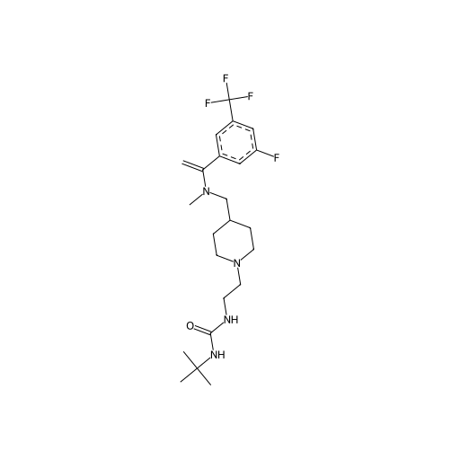 C=C(c1cc(F)cc(C(F)(F)F)c1)N(C)CC1CCN(CCNC(=O)NC(C)(C)C)CC1